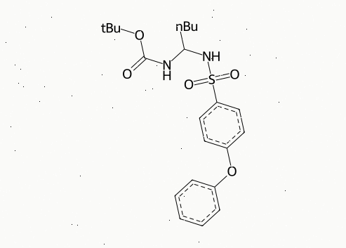 CCCCC(NC(=O)OC(C)(C)C)NS(=O)(=O)c1ccc(Oc2ccccc2)cc1